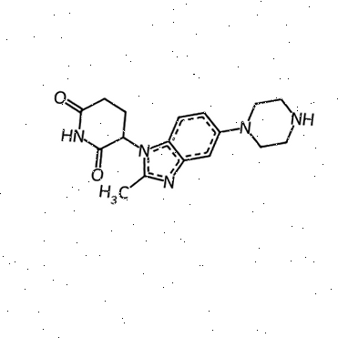 Cc1nc2cc(N3CCNCC3)ccc2n1C1CCC(=O)NC1=O